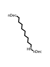 CCCCCCCCCCCCCCCCCCCNCCCCCCCCCC